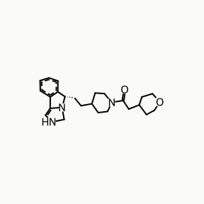 O=C(CC1CCOCC1)N1CCC(CC[C@H]2c3ccccc3C3=CNCN32)CC1